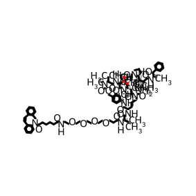 CCC(C)[C@@H]([C@@H](CC(=O)N1CCC[C@H]1[C@H](OC)[C@@H](C)C(=O)N[C@H](C)C(O)c1ccccc1)OC)N(C)C(=O)[C@@H](NC(=O)C(C(C)C)N(C)C(=O)OCc1ccc(NC(=O)C(CCCNC(N)=O)NC(=O)[C@@H](NC(=O)CCOCCOCCOCCOCCNC(=O)CCCCC(=O)N2Cc3ccccc3C#Cc3ccccc32)C(C)C)cc1)C(C)C